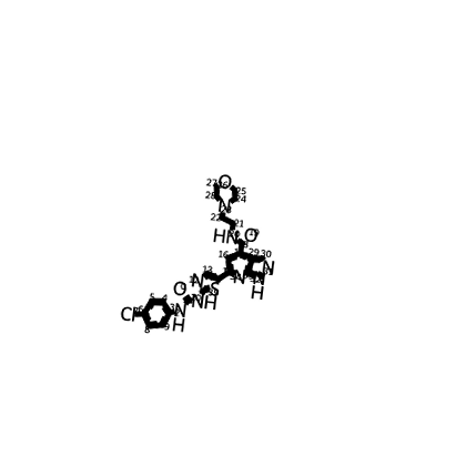 O=C(Nc1ccc(Cl)cc1)Nc1ncc(-c2cc(C(=O)NCCN3CCOCC3)c3cn[nH]c3n2)s1